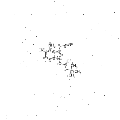 CC(C)(C)CC(=O)On1cc(CC#N)c2c(N)c(Cl)ccc21